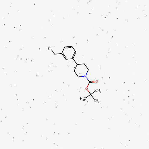 CC(C)(C)OC(=O)N1CCC(c2cccc([CH2][Zn+])c2)CC1